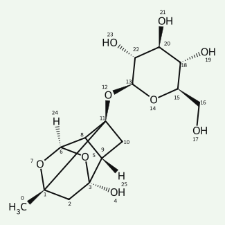 C[C@@]12C[C@@]3(O)O[C@@H](O1)C1[C@@H]3C[C@@]12O[C@@H]1O[C@H](CO)[C@@H](O)[C@H](O)[C@H]1O